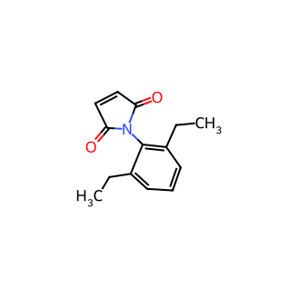 CCc1cccc(CC)c1N1C(=O)C=CC1=O